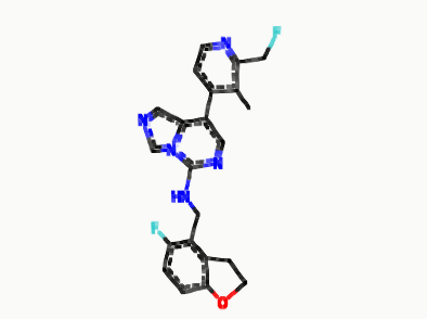 Cc1c(-c2cnc(NCc3c(F)ccc4c3CCO4)n3cncc23)ccnc1CF